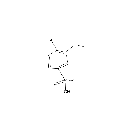 CCc1cc(S(=O)(=O)O)ccc1S